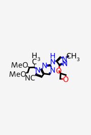 COC[C@H](OC)[C@H](C)n1c(C#N)cc2cnc(Nc3cn(C)nc3OC3COC3)nc21